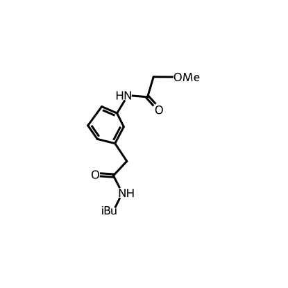 CCC(C)NC(=O)Cc1cccc(NC(=O)COC)c1